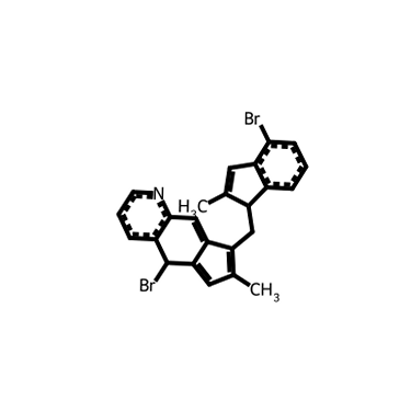 CC1=Cc2c(Br)cccc2C1CC1=C(C)C=C2C1=Cc1ncccc1C2Br